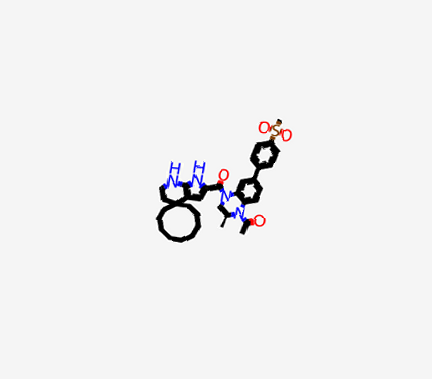 CC(=O)N1c2ccc(-c3ccc(S(C)(=O)=O)cc3)cc2N(C(=O)c2cc3c([nH]2)NCCC32CCCCCCCCC2)C[C@@H]1C